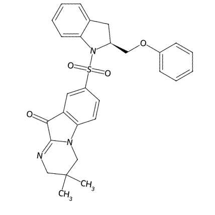 CC1(C)CN=C2C(=O)c3cc(S(=O)(=O)N4c5ccccc5C[C@H]4COc4ccccc4)ccc3N2C1